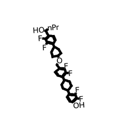 CCCC(O)c1ccc(C2CCC(OCc3ccc(C4CCC(c5ccc(O)c(F)c5F)CC4)c(F)c3F)CC2)c(F)c1F